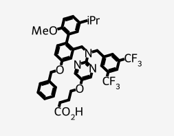 COc1ccc(C(C)C)cc1-c1ccc(OCc2ccccc2)cc1CN(Cc1cc(C(F)(F)F)cc(C(F)(F)F)c1)c1ncc(OCCCC(=O)O)cn1